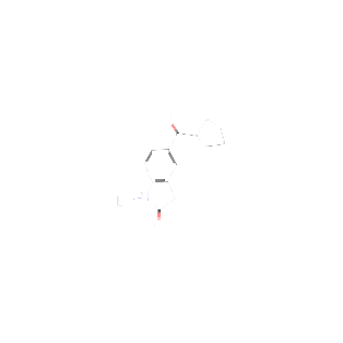 CCN1C(=O)Cc2cc(C(=O)C3CCCC3)ccc21